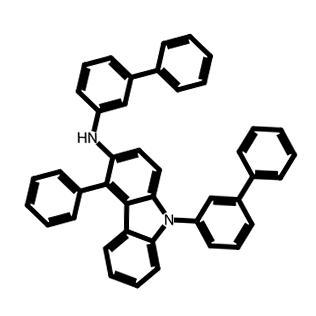 c1ccc(-c2cccc(Nc3ccc4c(c3-c3ccccc3)c3ccccc3n4-c3cccc(-c4ccccc4)c3)c2)cc1